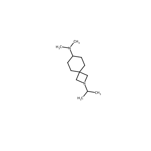 CC(C)N1CC2(CCC(N(C)C)CC2)C1